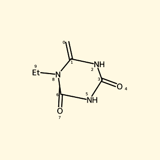 C=C1NC(=O)NC(=O)N1CC